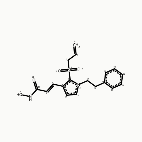 C=CCS(=O)(=O)c1c(C=CC(=O)NO)ccn1CCc1ccccc1